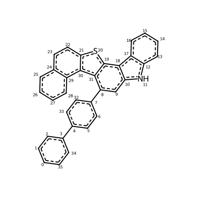 c1ccc(-c2ccc(-c3cc4[nH]c5ccccc5c4c4sc5ccc6ccccc6c5c34)cc2)cc1